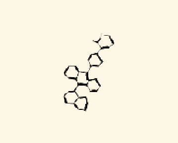 Cc1ncccc1-c1ccc(-c2c3ccccc3c(-c3cccc4ccccc34)c3ccccc23)cc1